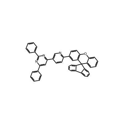 c1ccc(-c2cc(-c3ccc(-c4ccc5c(c4)C4(c6ccccc6O5)c5ccccc5-c5ccccc54)nc3)nc(-c3ccccc3)n2)cc1